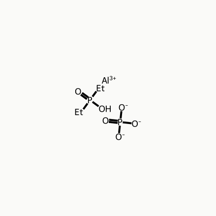 CCP(=O)(O)CC.O=P([O-])([O-])[O-].[Al+3]